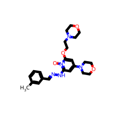 Cc1cccc(/C=N/Nc2cc(N3CCOCC3)cc(OCCN3CCOCC3)[n+]2[O-])c1